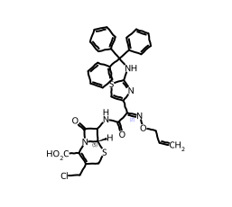 C=CCO/N=C(\C(=O)NC1C(=O)N2C(C(=O)O)=C(CCl)CS[C@@H]12)c1csc(NC(c2ccccc2)(c2ccccc2)c2ccccc2)n1